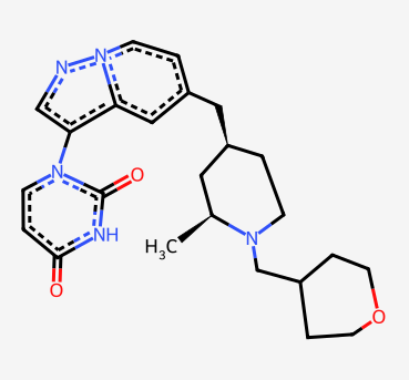 C[C@H]1C[C@@H](Cc2ccn3ncc(-n4ccc(=O)[nH]c4=O)c3c2)CCN1CC1CCOCC1